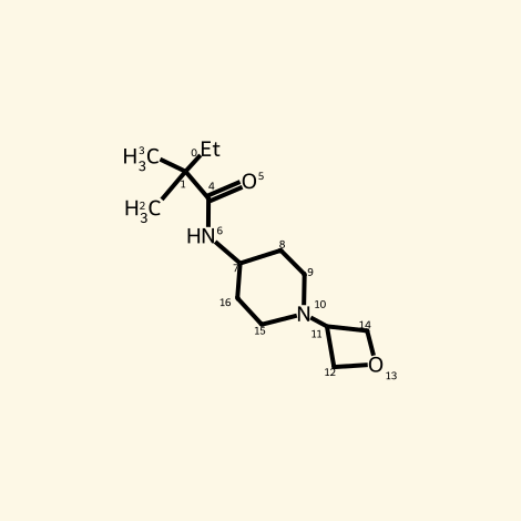 CCC(C)(C)C(=O)NC1CCN(C2COC2)CC1